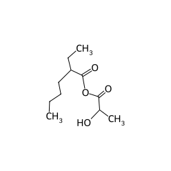 CCCCC(CC)C(=O)OC(=O)C(C)O